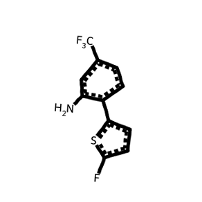 Nc1cc(C(F)(F)F)ccc1-c1ccc(F)s1